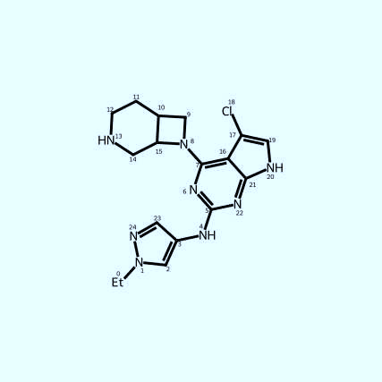 CCn1cc(Nc2nc(N3CC4CCNCC43)c3c(Cl)c[nH]c3n2)cn1